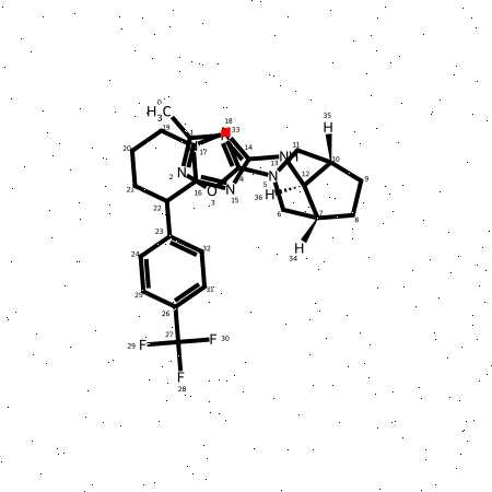 Cc1noc(N2C[C@H]3CC[C@@H](C2)[C@@H]3Nc2nc3n(n2)CCCC3c2ccc(C(F)(F)F)cc2)n1